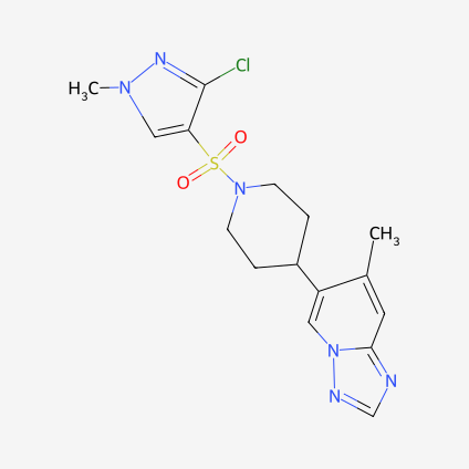 Cc1cc2ncnn2cc1C1CCN(S(=O)(=O)c2cn(C)nc2Cl)CC1